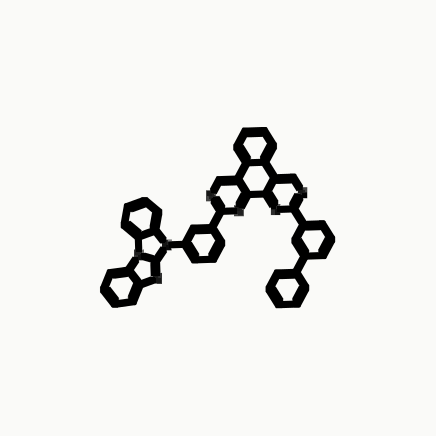 c1ccc(-c2cccc(-c3ncc4c5ccccc5c5cnc(-c6cccc(-n7c8ccccc8n8c9ccccc9nc78)c6)nc5c4n3)c2)cc1